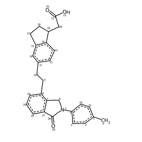 Cc1ccc(N2Cc3c(CCc4ccc5c(c4)CCC5CC(=O)O)cccc3C2=O)cc1